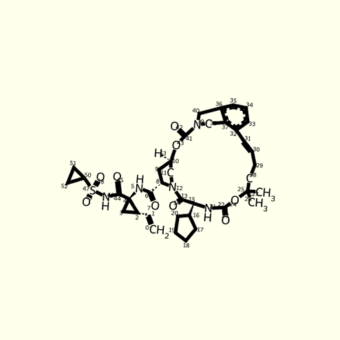 C=C[C@@H]1C[C@]1(NC(=O)[C@@H]1C[C@@H]2CN1C(=O)[C@H](C1CCCC1)NC(=O)OC(C)(C)CC/C=C/c1cccc3c1CN(C3)C(=O)O2)C(=O)NS(=O)(=O)C1CC1